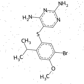 COc1cc(C(C)C)c(Sc2cnc(N)nc2N)cc1Br